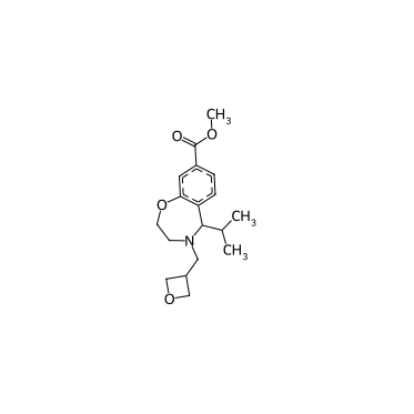 COC(=O)c1ccc2c(c1)OCCN(CC1COC1)C2C(C)C